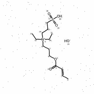 CC=CC(=O)OCCC[N+](CC)(CC)CCCS(=O)(=O)O.[OH-]